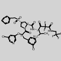 CC(C)[C@H](NC(=O)[C@@H]1C[C@@H](S(=O)(=O)Cc2ccccc2)CN1C(=O)[C@@H](Cc1cccc(Cl)c1)Oc1cncc(Cl)c1)C(=O)C(F)(F)C(=O)NCC(F)(F)F